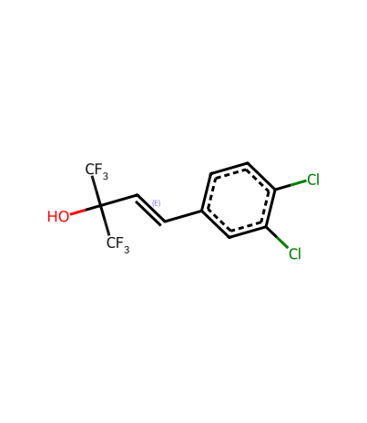 OC(/C=C/c1ccc(Cl)c(Cl)c1)(C(F)(F)F)C(F)(F)F